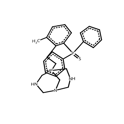 Cc1cccc(P(=S)(c2ccccc2)c2ccccc2)c1CC[PH]12CNCN(CNC1)C2